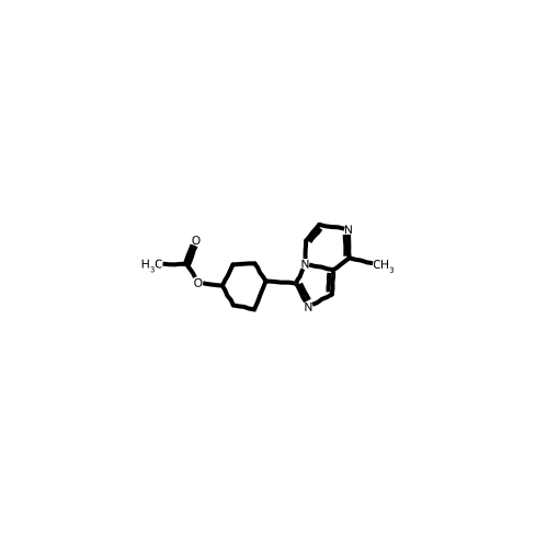 CC(=O)OC1CCC(c2ncc3c(C)nccn23)CC1